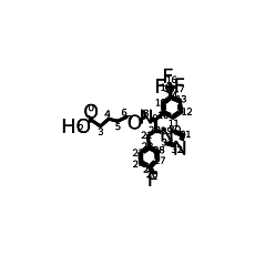 O=C(O)CCCCO/N=C(/c1cccc(C(F)(F)F)c1)C(Cc1ccc(F)cc1)n1ccnc1